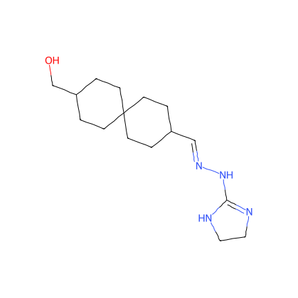 OCC1CCC2(CCC(/C=N/NC3=NCCN3)CC2)CC1